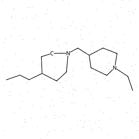 CCCC1CCN(CC2CCN(CC)CC2)CC1